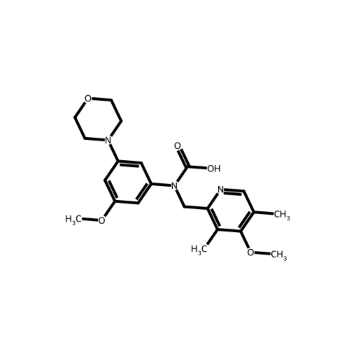 COc1cc(N2CCOCC2)cc(N(Cc2ncc(C)c(OC)c2C)C(=O)O)c1